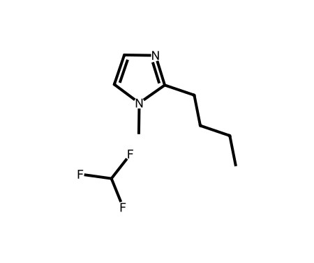 CCCCc1nccn1C.FC(F)F